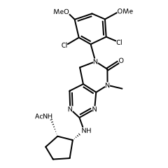 COc1cc(OC)c(Cl)c(N2Cc3cnc(N[C@@H]4CCC[C@@H]4NC(C)=O)nc3N(C)C2=O)c1Cl